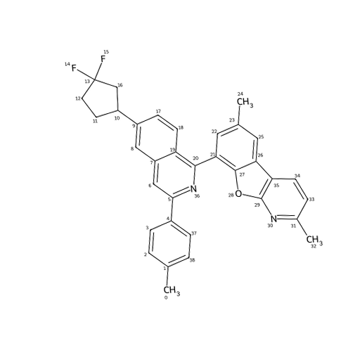 Cc1ccc(-c2cc3cc(C4CCC(F)(F)C4)ccc3c(-c3cc(C)cc4c3oc3nc(C)ccc34)n2)cc1